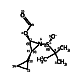 CC(C)(C)[S@+]([O-])N1[C@H](OC=O)[C@@H]1C1CC1